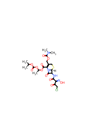 CC(C)OC(=O)OC(C)OC(=O)C1=C(COC(=O)N(C)C)CS[C@H]2C(NC(=O)C(=NO)C(=O)CCl)C(=O)N12